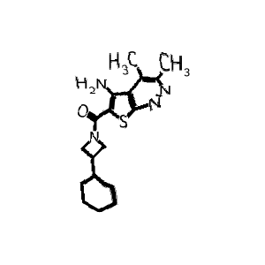 Cc1nnc2sc(C(=O)N3CC(C4CCCCC4)C3)c(N)c2c1C